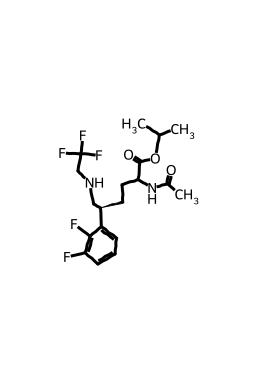 CC(=O)NC(CC[C@H](CNCC(F)(F)F)c1cccc(F)c1F)C(=O)OC(C)C